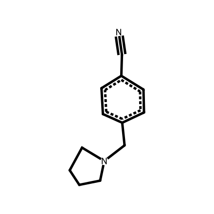 N#Cc1ccc(CN2CCCC2)cc1